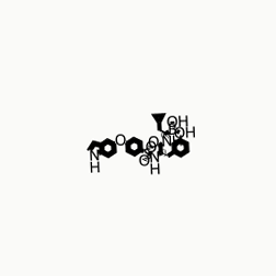 O=C(N[C@@H](CC1CC1)B(O)O)[C@H](Cc1ccccc1)NS(=O)(=O)c1ccc(Oc2ccc3[nH]ccc3c2)cc1